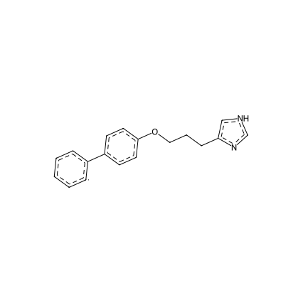 [c]1ccccc1-c1ccc(OCCCc2c[nH]cn2)cc1